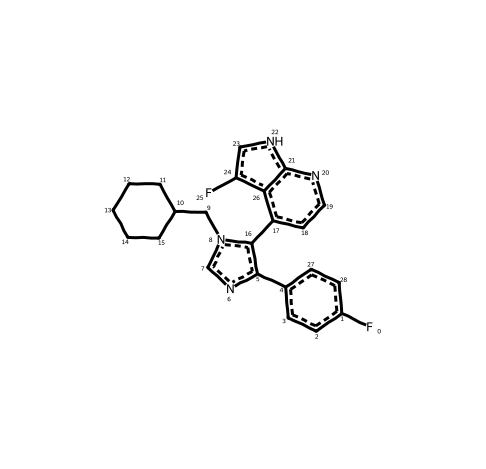 Fc1ccc(-c2ncn(CC3CCCCC3)c2-c2ccnc3[nH]cc(F)c23)cc1